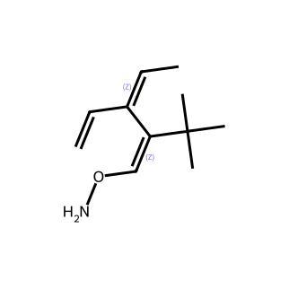 C=CC(=C/C)/C(=C\ON)C(C)(C)C